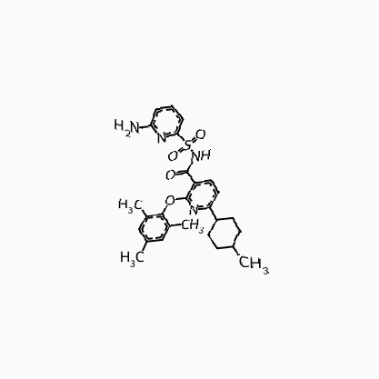 Cc1cc(C)c(Oc2nc(C3CCC(C)CC3)ccc2C(=O)NS(=O)(=O)c2cccc(N)n2)c(C)c1